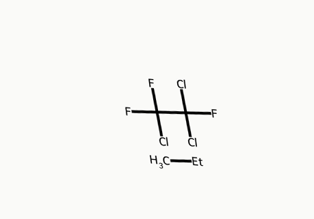 CCC.FC(F)(Cl)C(F)(Cl)Cl